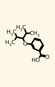 CC(C)C(Oc1cccc(C(=O)O)c1)C(C)C